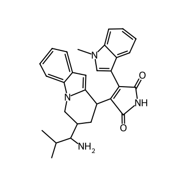 CC(C)C(N)C1CC(C2=C(c3cn(C)c4ccccc34)C(=O)NC2=O)c2cc3ccccc3n2C1